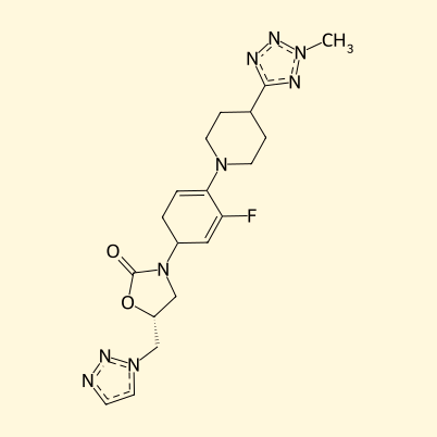 Cn1nnc(C2CCN(C3=CCC(N4C[C@H](Cn5ccnn5)OC4=O)C=C3F)CC2)n1